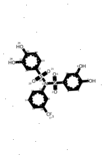 O=S(=O)(c1ccc(O)c(O)c1)N(c1cccc(C(F)(F)F)c1)S(=O)(=O)c1ccc(O)c(O)c1